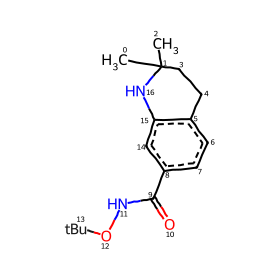 CC1(C)CCc2ccc(C(=O)NOC(C)(C)C)cc2N1